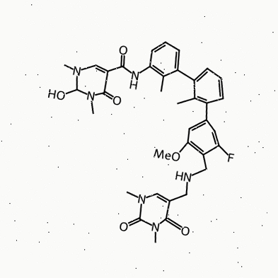 COc1cc(-c2cccc(-c3cccc(NC(=O)C4=CN(C)C(O)N(C)C4=O)c3C)c2C)cc(F)c1CNCc1cn(C)c(=O)n(C)c1=O